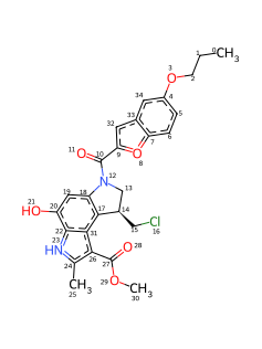 CCCOc1ccc2oc(C(=O)N3C[C@@H](CCl)c4c3cc(O)c3[nH]c(C)c(C(=O)OC)c43)cc2c1